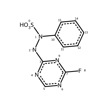 O=S(=O)(O)N([N]c1ncnc(F)n1)c1ccccc1